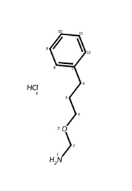 Cl.NCOCCCc1ccccc1